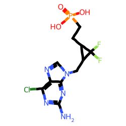 Nc1nc(Cl)c2ncn(CC3C(CCP(=O)(O)O)C3(F)F)c2n1